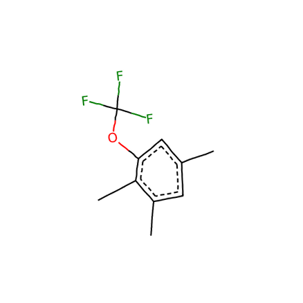 Cc1cc(C)c(C)c(OC(F)(F)F)c1